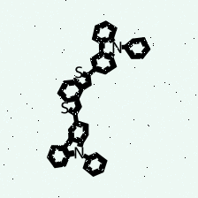 c1ccc(-n2c3ccccc3c3cc(-c4cc5c(ccc6sc(-c7ccc8c(c7)c7ccccc7n8-c7ccccc7)cc65)s4)ccc32)cc1